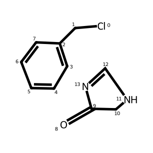 ClCc1ccccc1.O=C1CNC=N1